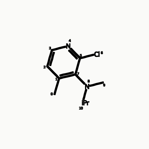 Cc1ccnc(Cl)c1N(C)C(C)C